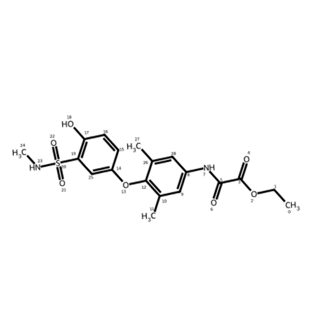 CCOC(=O)C(=O)Nc1cc(C)c(Oc2ccc(O)c(S(=O)(=O)NC)c2)c(C)c1